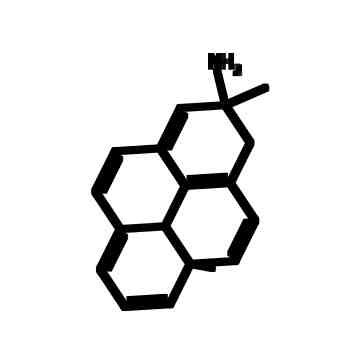 CC1(N)C=C2C=CC3=CC=CC4(C)C=CC(=C2C34)C1